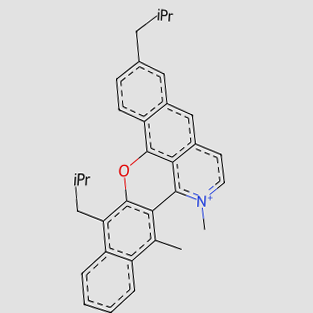 Cc1c2c(c(CC(C)C)c3ccccc13)Oc1c3ccc(CC(C)C)cc3cc3cc[n+](C)c-2c13